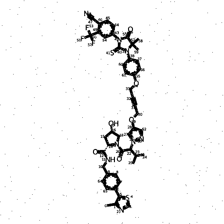 Cc1ncsc1-c1ccc(CNC(=O)[C@@H]2C[C@@H](O)CN2C(=O)C(C(C)C)n2cc(OCC#CCOc3ccc(N4C(=S)N(c5ccc(C#N)c(C(F)(F)F)c5)C(=O)C4(C)C)cc3)cn2)cc1